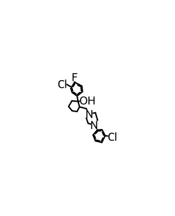 OC1(c2ccc(F)c(Cl)c2)CCCCC1CN1CCN(c2cccc(Cl)c2)CC1